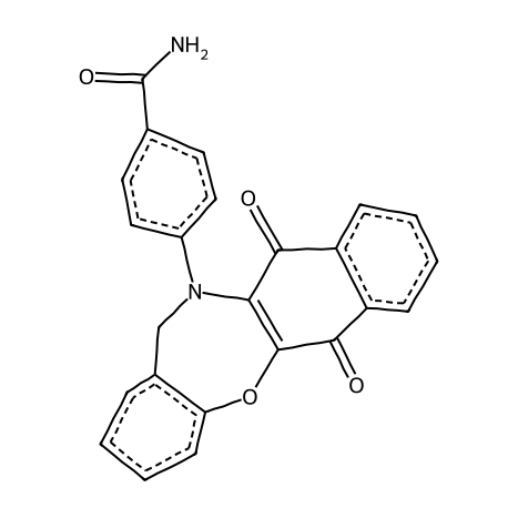 NC(=O)c1ccc(N2Cc3ccccc3OC3=C2C(=O)c2ccccc2C3=O)cc1